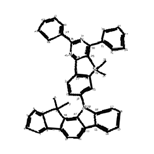 CC1(C)c2ccccc2-c2ccc3c4ccccc4n(-c4ccc5c(c4)[Si](C)(C)c4c(-c6ccccc6)nc(-c6ccccc6)nc4-5)c3c21